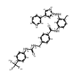 Cc1ccc(NC(=O)c2ccc(CNC(=O)Nc3ccc(C(F)(F)F)cc3)cc2)cc1Nn1cc(-c2cccnc2)cn1